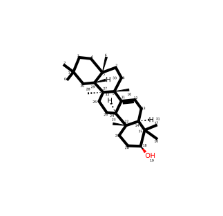 CC1(C)CC[C@]2(C)CC[C@]3(C)C4=CC[C@H]5C(C)(C)[C@@H](O)CC[C@]5(C)[C@H]4CC[C@@]3(C)[C@@H]2C1